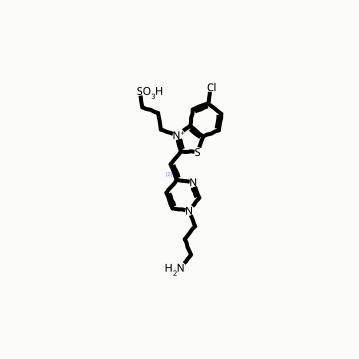 NCCCN1C=C/C(=C/c2sc3ccc(Cl)cc3[n+]2CCCS(=O)(=O)O)N=C1